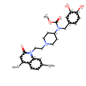 COc1ccc2c(OC)cc(=O)n(CCN3CCC(N(Cc4ccc(O)c(O)c4)C(=O)OC(C)(C)C)CC3)c2c1